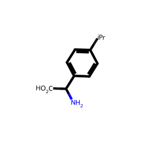 CC(C)c1ccc(C(N)C(=O)O)cc1